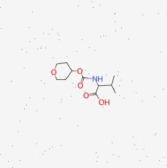 CC(C)C(NC(=O)OC1CCOCC1)C(=O)O